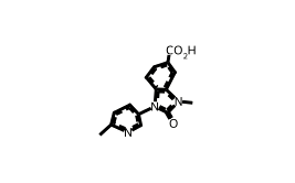 Cc1ccc(-n2c(=O)n(C)c3cc(C(=O)O)ccc32)cn1